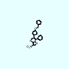 O=[N+]([O-])c1cnn2c(-c3ccccc3)c(-c3ccc(OCc4ccccc4)cc3)cnc12